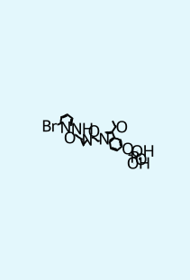 CC(=O)c1cn(CC(=O)N2CC2C(=O)Nc2cccc(Br)n2)c2ccc(OCP(=O)(O)O)cc12